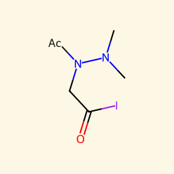 CC(=O)N(CC(=O)I)N(C)C